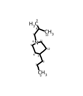 CCCC1CCN(CC(C)C)CC1